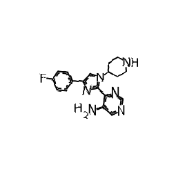 Nc1cncnc1-c1nc(-c2ccc(F)cc2)cn1C1CCNCC1